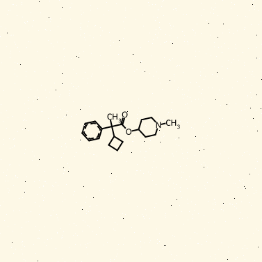 CN1CCC(OC(=O)C(C)(c2ccccc2)C2CCC2)CC1